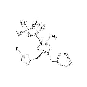 C[C@@H]1CN(Cc2ccccc2)[C@@H](CN2CC[C@H](F)C2)CN1C(=O)OC(C)(C)C